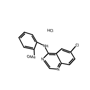 COc1ccccc1Nc1ncnc2ccc(Cl)cc12.Cl